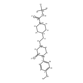 CSc1ccc(N2CCN(CCC3CCN(C(=O)OC(C)(C)C)CC3)CC2=O)cc1